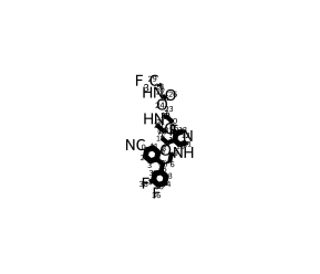 N#Cc1ccc([C@@H](CC(=O)Nc2cncc(F)c2CC[C@@H]2CN[C@H](COC(=O)NCC(F)(F)F)CO2)c2ccc(F)c(F)c2)cc1